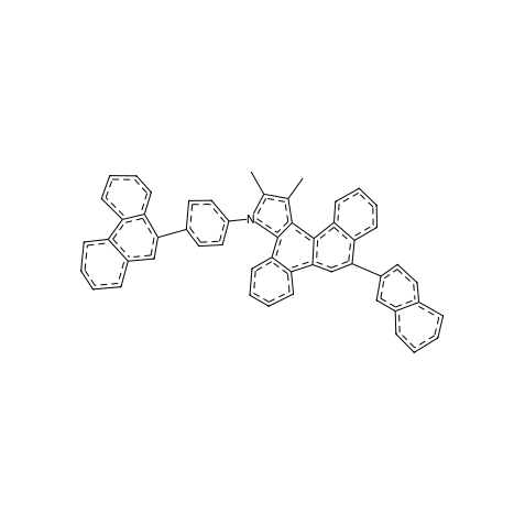 Cc1c(C)n(-c2ccc(-c3cc4ccccc4c4ccccc34)cc2)c2c3ccccc3c3cc(-c4ccc5ccccc5c4)c4ccccc4c3c12